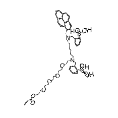 C=CC(=O)OCCOCCOCCOCCOCCN(CCCCCCN(Cc1ccccc1B(O)O)Cc1ccc2ccc3cccc4ccc1c2c34)Cc1ccccc1B(O)O